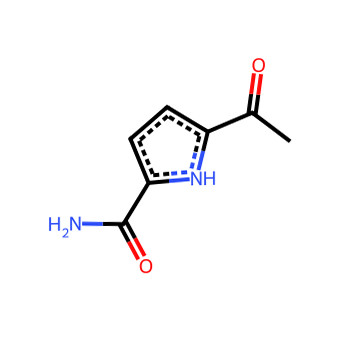 CC(=O)c1ccc(C(N)=O)[nH]1